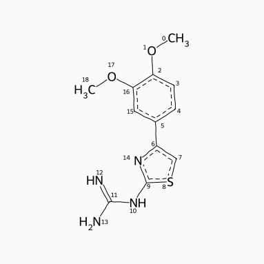 COc1ccc(-c2csc(NC(=N)N)n2)cc1OC